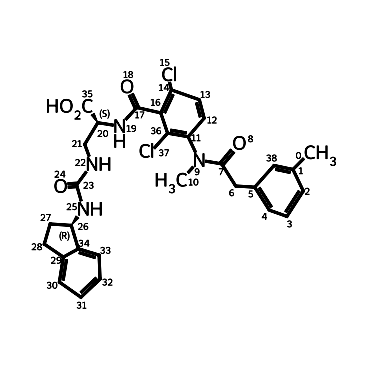 Cc1cccc(CC(=O)N(C)c2ccc(Cl)c(C(=O)N[C@@H](CNC(=O)N[C@@H]3CCc4ccccc43)C(=O)O)c2Cl)c1